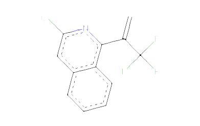 C=C(c1nc(Cl)cc2ccccc12)C(F)(F)F